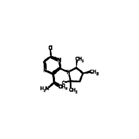 C[C@H]1CC(C)(C)N(c2nc(Cl)cnc2C(N)=O)[C@H]1C